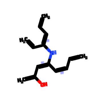 C=C/C=C\C(=C/C(=C)O)N/C(C=C)=C/C=C